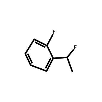 CC(F)c1ccccc1F